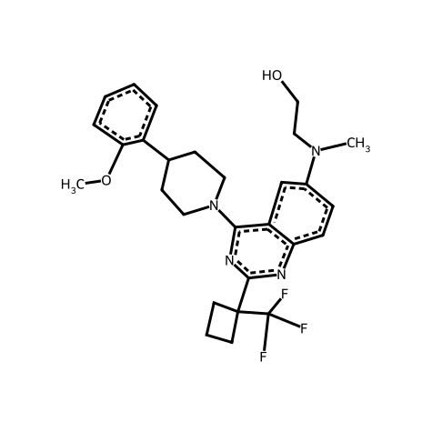 COc1ccccc1C1CCN(c2nc(C3(C(F)(F)F)CCC3)nc3ccc(N(C)CCO)cc23)CC1